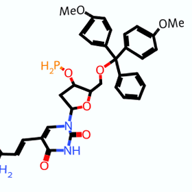 COc1ccc(C(OCC2OC(n3cc(/C=C/C(N)=O)c(=O)[nH]c3=O)CC2OP)(c2ccccc2)c2ccc(OC)cc2)cc1